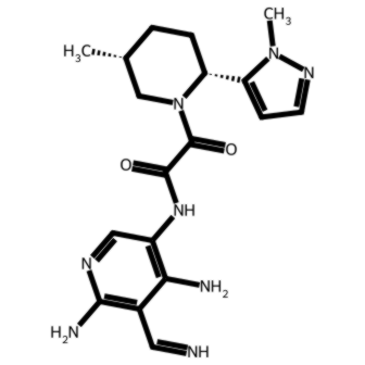 C[C@@H]1CC[C@H](c2ccnn2C)N(C(=O)C(=O)Nc2cnc(N)c(C=N)c2N)C1